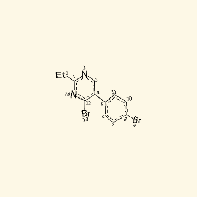 CCc1ncc(-c2ccc(Br)cc2)c(Br)n1